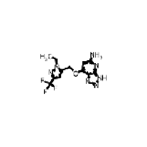 CCn1nc(C(F)(F)F)cc1COc1cc(N)nc2[nH]nnc12